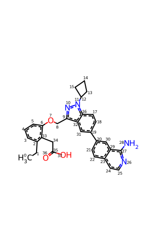 CCc1cccc(OCc2nn(C3CCC3)c3ccc(-c4ccc5ccnc(N)c5c4)cc23)c1CC(=O)O